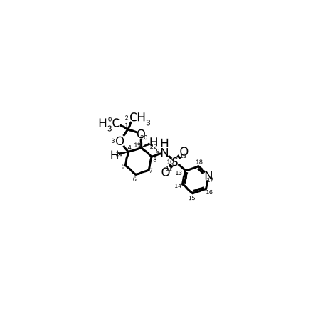 CC1(C)O[C@H]2CCCC(NS(=O)(=O)c3cccnc3)[C@H]2O1